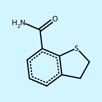 NC(=O)c1cccc2c1SCC2